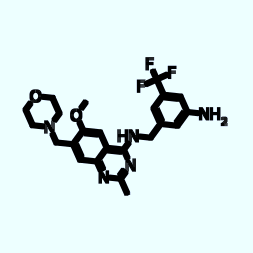 COc1cc2c(NCc3cc(N)cc(C(F)(F)F)c3)nc(C)nc2cc1CN1CCOCC1